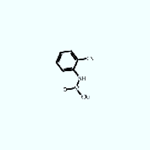 CC(C)(C)[S+]([O-])Nc1ccccc1C#N